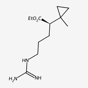 CCOC(=O)[C@H](CCCNC(=N)N)C1(C)CC1